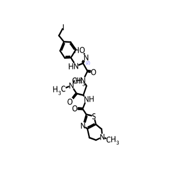 CN1CCc2nc(C(=O)NC(CNC(=O)/C(=N/O)Nc3ccc(CI)cc3)C(=O)N(C)C)sc2C1